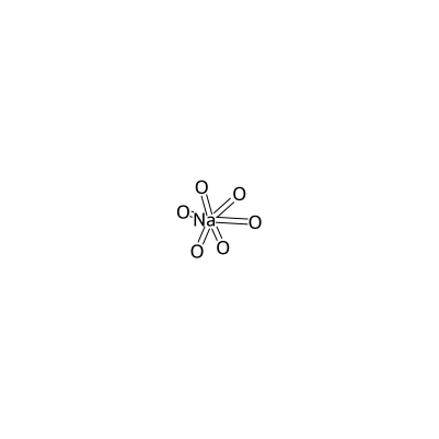 [O]=[Na](=[O])(=[O])(=[O])(=[O])=[O]